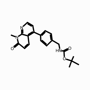 Cn1c(=O)ccc2c(-c3ccc(CNC(=O)OC(C)(C)C)cc3)ccnc21